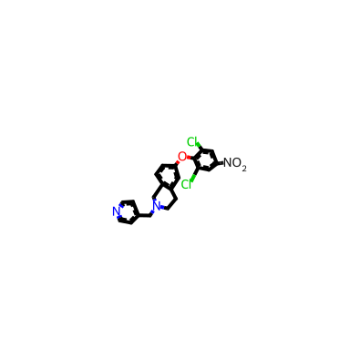 O=[N+]([O-])c1cc(Cl)c(Oc2ccc3c(c2)CCN(Cc2ccncc2)C3)c(Cl)c1